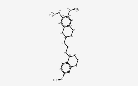 COc1ccc2c(c1)CCCC2CCCN1CCc2cc(OC)c(OC)cc2C1